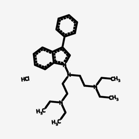 CCN(CC)CCN(CCN(CC)CC)n1cc(-c2ccccc2)c2ccccc21.Cl